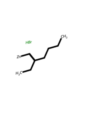 Br.CCCCC(CC)[CH2][Zn]